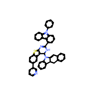 C1=C2C(Cc3ccccc31)c1ccccc1N2C1NC(c2cccc3c2c2ccccc2n3-c2ccccc2)=Nc2sc3ccc(-c4cccnc4)cc3c21